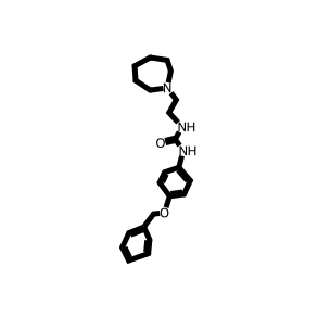 O=C(NCCN1CCCCCC1)Nc1ccc(OCc2ccccc2)cc1